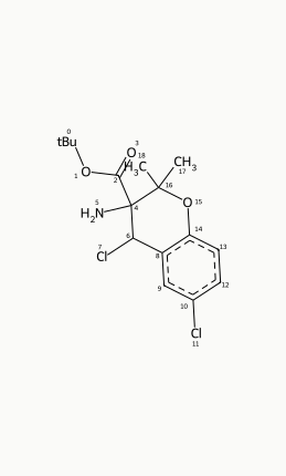 CC(C)(C)OC(=O)C1(N)C(Cl)c2cc(Cl)ccc2OC1(C)C